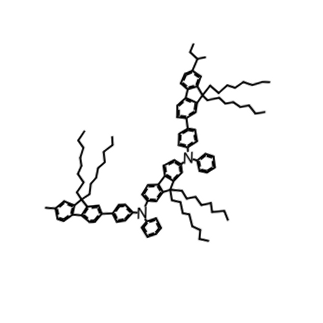 CCCCCCCCC1(CCCCCCCC)c2cc(C)ccc2-c2ccc(-c3ccc(N(c4ccccc4)c4ccc5c(c4)C(CCCCCCCC)(CCCCCCCC)c4cc(N(c6ccccc6)c6ccc(-c7ccc8c(c7)C(CCCCCCCC)(CCCCCCCC)c7cc(C(C)CC)ccc7-8)cc6)ccc4-5)cc3)cc21